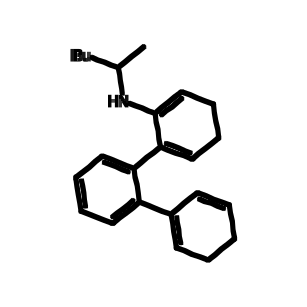 CCC(C)C(C)NC1=CCCC=C1c1ccccc1C1=CCCC=C1